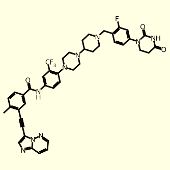 Cc1ccc(C(=O)Nc2ccc(N3CCN(C4CCN(Cc5ccc(N6CCC(=O)NC6=O)cc5F)CC4)CC3)c(C(F)(F)F)c2)cc1C#Cc1cnc2cccnn12